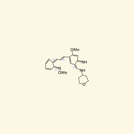 CO\N=C1/C=CC=C/C1=C/C=C/C1=CC(=C/NC2CCOCC2)/C(=N)C=C1OC